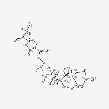 CC(CCC(=O)N1CCN(C(=O)C(C)(C)O)C[C@@H]1C)[C@H]1CC[C@H]2[C@@H]3CC=C4C[C@@H](O)CC[C@]4(C)[C@H]3CC[C@]12C